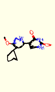 COc1nnc(-c2c[nH]c(=O)[nH]c2=O)cc1C1CCC1